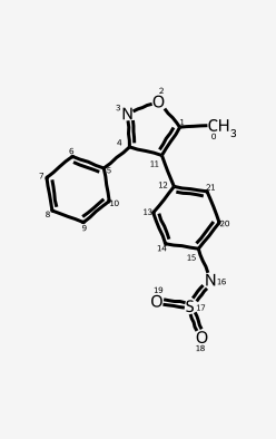 Cc1onc(-c2ccccc2)c1-c1ccc(N=S(=O)=O)cc1